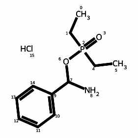 CCP(=O)(CC)OC(N)c1ccccc1.Cl